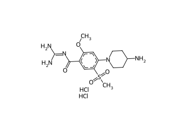 COc1cc(N2CCC(N)CC2)c(S(C)(=O)=O)cc1C(=O)N=C(N)N.Cl.Cl